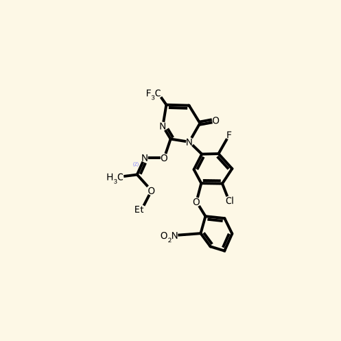 CCO/C(C)=N\Oc1nc(C(F)(F)F)cc(=O)n1-c1cc(Oc2ccccc2[N+](=O)[O-])c(Cl)cc1F